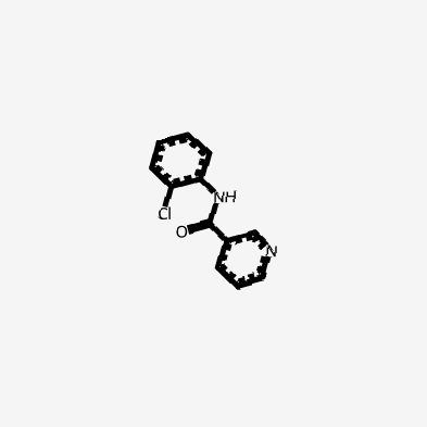 O=C(Nc1ccccc1Cl)c1cccnc1